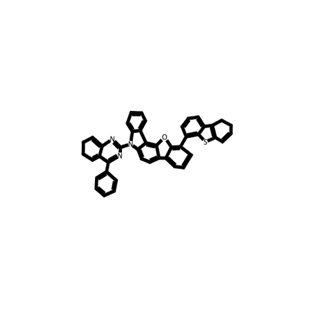 C1=Cc2sc3c(-c4cccc5c4oc4c5ccc5c4c4ccccc4n5-c4nc(-c5ccccc5)c5c(n4)=CCCC=5)cccc3c2CC1